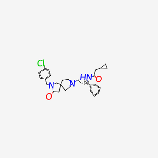 O=C(CC1CC1)N[C@@H](CCN1CCC2(CC1)CC(=O)N(Cc1ccc(Cl)cc1)C2)c1ccccc1